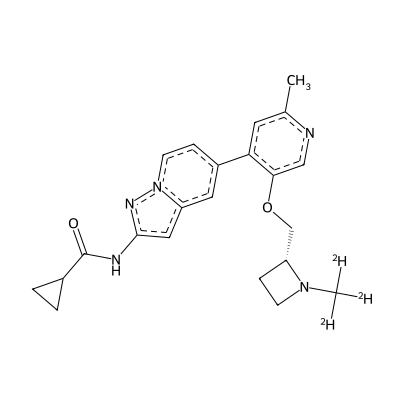 [2H]C([2H])([2H])N1CC[C@@H]1COc1cnc(C)cc1-c1ccn2nc(NC(=O)C3CC3)cc2c1